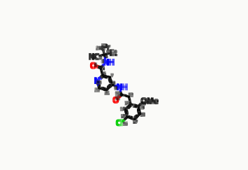 CCC(C#N)(NC(=O)c1cc(NC(=O)Cc2cc(Cl)ccc2OC)ccn1)C(C)C